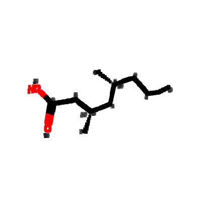 CCC[C@@H](C)C[C@H](C)CC(=O)O